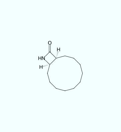 O=C1N[C@@H]2CCCCCCCCCC[C@H]12